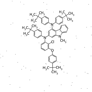 Cn1c2ccccc2c2c(N(c3ccc(C(C)(C)C)cc3)c3ccc(C(C)(C)C)cc3)cc(N(c3ccc(C(C)(C)C)cc3)c3cccc(Oc4ccc(C(C)(C)C)cc4)c3Cl)cc21